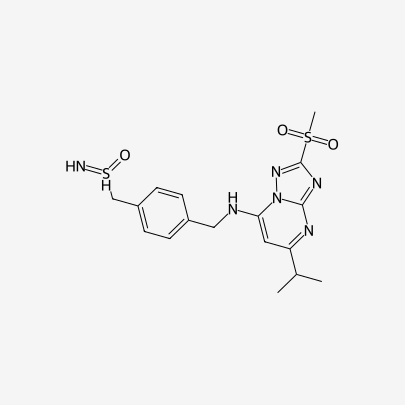 CC(C)c1cc(NCc2ccc(C[SH](=N)=O)cc2)n2nc(S(C)(=O)=O)nc2n1